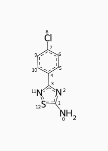 Nc1nc(-c2ccc(Cl)cc2)ns1